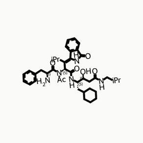 CC(=O)N(C(=O)[C@@H](N)Cc1ccccc1)[C@H](C(=O)N[C@@H](CC1CCCCC1)[C@@H](O)CC(=O)NCC(C)C)C(=C1NC(=O)c2ccccc21)C(C)C